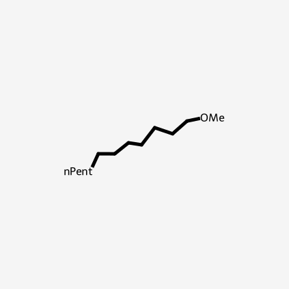 [CH2]CCCCCCCCCCCOC